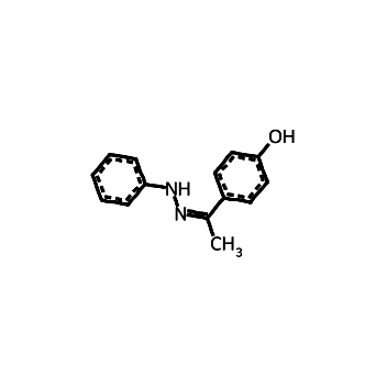 CC(=NNc1ccccc1)c1ccc(O)cc1